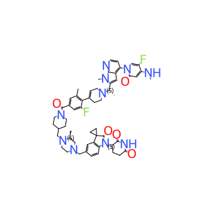 CNc1cc(=O)n(-c2ccnc3c2cc([C@H](C)N2CC=C(c4c(C)cc(C(=O)N5CCC(CN6CCN(Cc7ccc8c(c7)C7(CC7)C(=O)N8[C@H]7CCC(=O)NC7=O)C[C@@H]6C)CC5)cc4F)CC2)n3C)cc1F